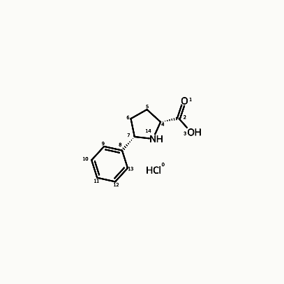 Cl.O=C(O)[C@H]1CC[C@@H](c2ccccc2)N1